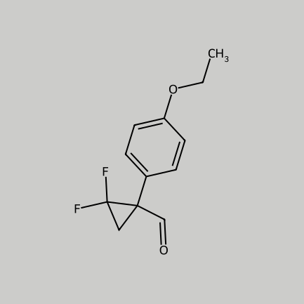 CCOc1ccc(C2(C=O)CC2(F)F)cc1